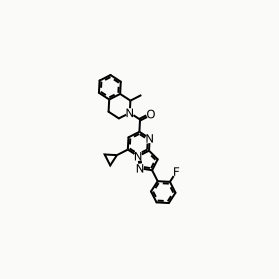 CC1c2ccccc2CCN1C(=O)c1cc(C2CC2)n2nc(-c3ccccc3F)cc2n1